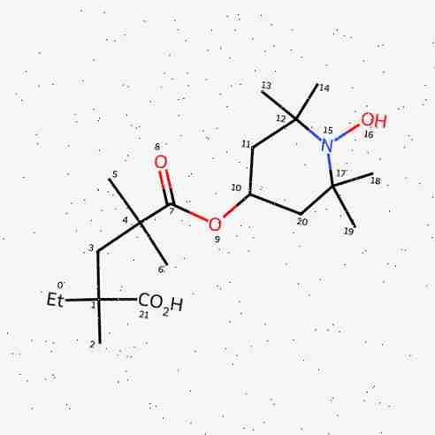 CCC(C)(CC(C)(C)C(=O)OC1CC(C)(C)N(O)C(C)(C)C1)C(=O)O